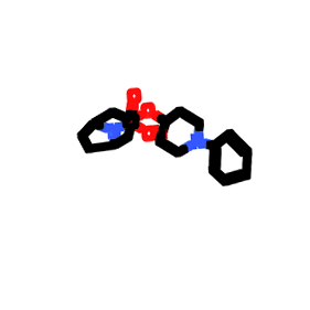 O=C(O)N1C2CCC1CC(OC1CCN(c3ccccc3)CC1)C2